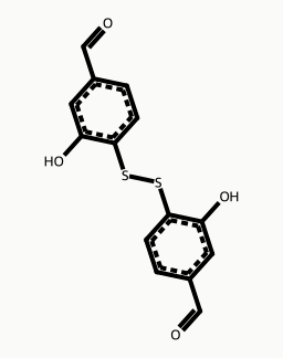 O=Cc1ccc(SSc2ccc(C=O)cc2O)c(O)c1